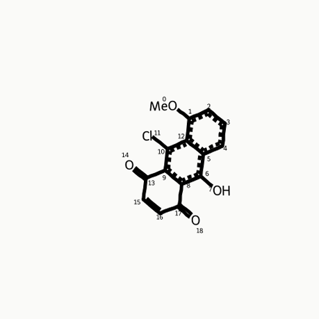 COc1cccc2c(O)c3c(c(Cl)c12)C(=O)C=CC3=O